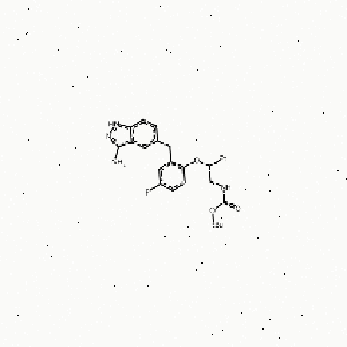 CCC(CNC(=O)OC(C)(C)C)Oc1ccc(F)cc1Cc1ccc2[nH]nc(N)c2c1